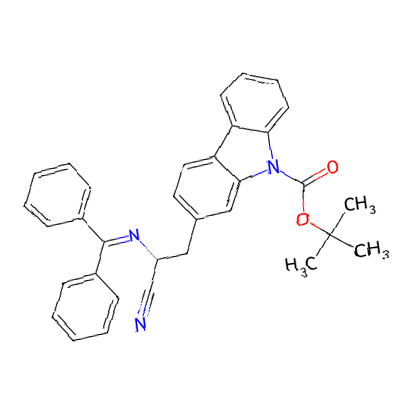 CC(C)(C)OC(=O)n1c2ccccc2c2ccc(CC(C#N)N=C(c3ccccc3)c3ccccc3)cc21